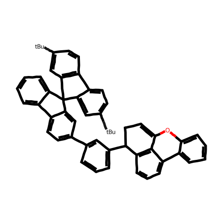 CC(C)(C)c1ccc2c(c1)C1(c3ccccc3-c3ccc(-c4cccc(C5CC=C6Oc7ccccc7-c7cccc5c76)c4)cc31)c1cc(C(C)(C)C)ccc1-2